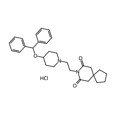 Cl.O=C1CC2(CCCC2)CC(=O)N1CCN1CCC(OC(c2ccccc2)c2ccccc2)CC1